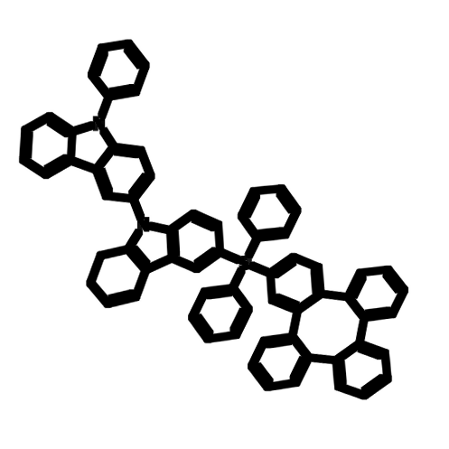 C1=Cc2c(n(-c3ccc4c(c3)c3ccccc3n4-c3ccccc3)c3ccc([Si](c4ccccc4)(c4ccccc4)c4ccc5c(c4)-c4ccccc4-c4ccccc4-c4ccccc4-5)cc23)CC1